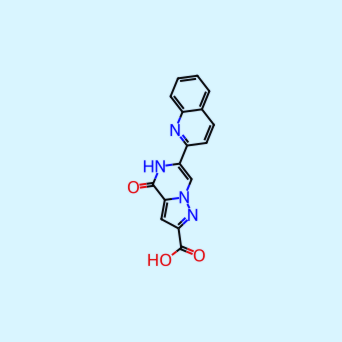 O=C(O)c1cc2c(=O)[nH]c(-c3ccc4ccccc4n3)cn2n1